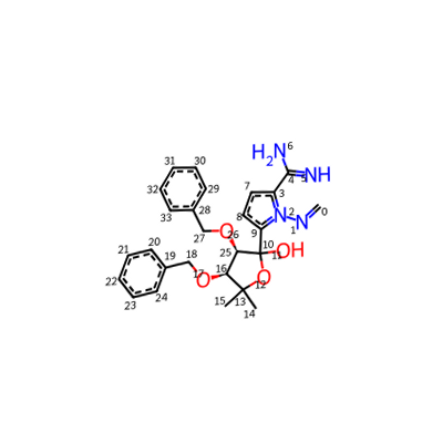 C=Nn1c(C(=N)N)ccc1C1(O)OC(C)(C)[C@@H](OCc2ccccc2)[C@H]1OCc1ccccc1